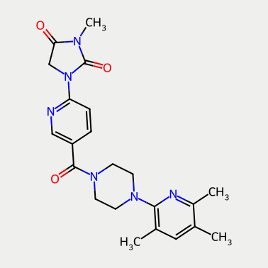 Cc1cc(C)c(N2CCN(C(=O)c3ccc(N4CC(=O)N(C)C4=O)nc3)CC2)nc1C